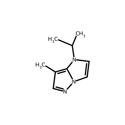 Cc1cnn2ccn(C(C)C)c12